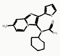 CC(=O)N(c1c(-c2cccs2)nc2cc(C)ccn12)C1CCCCC1